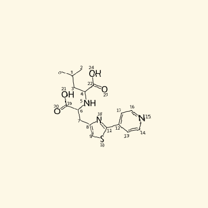 CC(C)CC(NC(Cc1csc(-c2ccncc2)n1)C(=O)O)C(=O)O